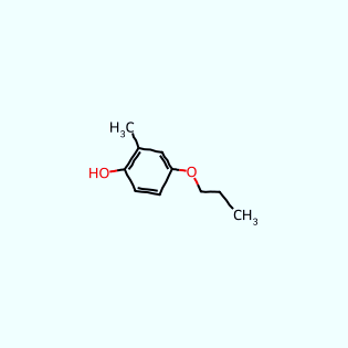 CCCOc1ccc(O)c(C)c1